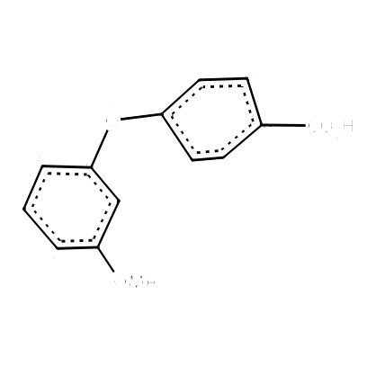 COc1cccc(Oc2ccc(C(=O)O)cc2)c1